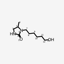 CC1CNC(=O)N1CCCCCCO